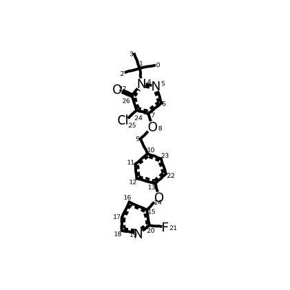 CC(C)(C)n1ncc(OCc2ccc(Oc3cccnc3F)cc2)c(Cl)c1=O